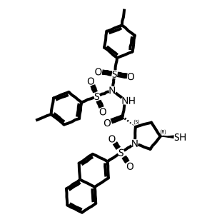 Cc1ccc(S(=O)(=O)N(NC(=O)[C@@H]2C[C@@H](S)CN2S(=O)(=O)c2ccc3ccccc3c2)S(=O)(=O)c2ccc(C)cc2)cc1